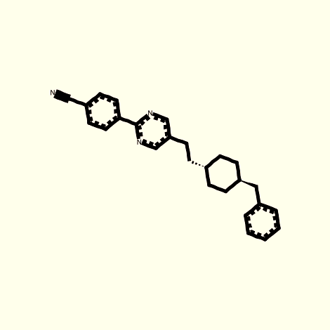 N#Cc1ccc(-c2ncc(CC[C@H]3CC[C@H](Cc4ccccc4)CC3)cn2)cc1